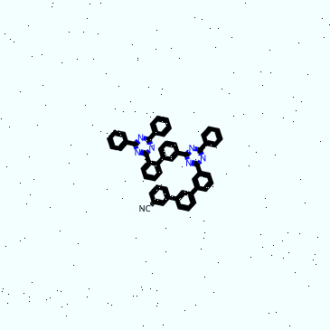 N#Cc1cccc(-c2cccc(-c3cccc(-c4nc(-c5ccccc5)nc(-c5cccc(-c6ccccc6-c6nc(-c7ccccc7)nc(-c7ccccc7)n6)c5)n4)c3)c2)c1